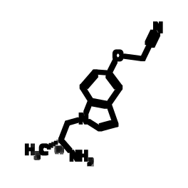 C[C@@H](N)Cn1ccc2cc(OCC#N)ccc21